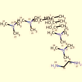 CC(=O)O.CC(=O)O.CC(=O)O.CC(=O)O.CN(C)C.CN(C)C.CN(C)C.CN(C)C.NCCN